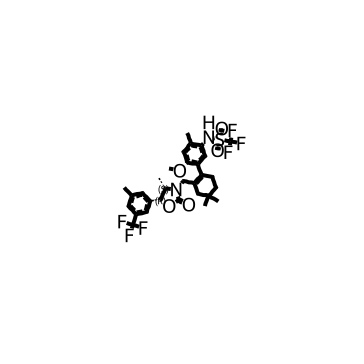 COc1cc(C)c(NS(=O)(=O)C(F)(F)F)cc1C1=C(CN2C(=O)O[C@H](c3cc(C)cc(C(F)(F)F)c3)[C@@H]2C)CC(C)(C)CC1